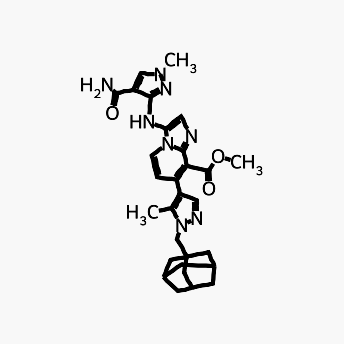 COC(=O)c1c(-c2cnn(CC34CC5CC(CC(C5)C3)C4)c2C)ccn2c(Nc3nn(C)cc3C(N)=O)cnc12